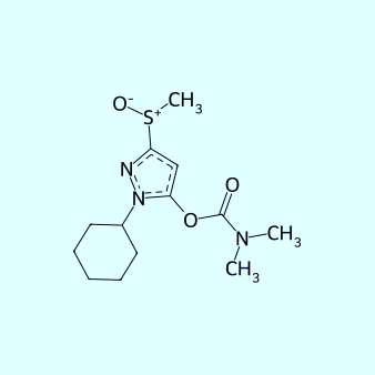 CN(C)C(=O)Oc1cc([S+](C)[O-])nn1C1CCCCC1